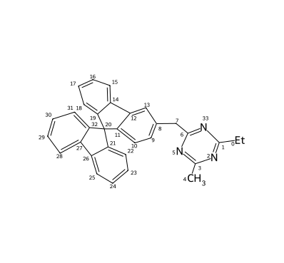 CCc1nc(C)nc(Cc2ccc3c(c2)-c2ccccc2C32c3ccccc3-c3ccccc32)n1